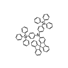 c1ccc([Si](c2ccccc2)(c2ccccc2)c2ccc(N(c3ccc([Si](c4ccccc4)(c4ccccc4)c4ccccc4)cc3)c3ccc4c(c3)C3(c5ccccc5-c5ccccc53)c3ccccc3-4)cc2)cc1